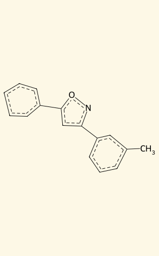 Cc1cccc(-c2cc(-c3ccccc3)on2)c1